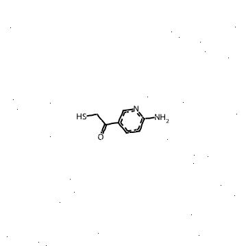 Nc1ccc(C(=O)CS)cn1